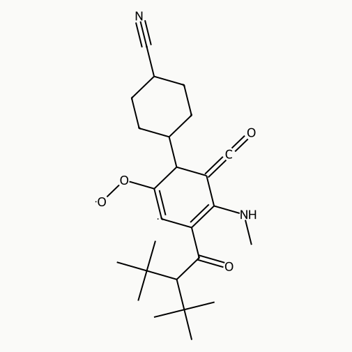 CNC1=C(C(=O)C(C(C)(C)C)C(C)(C)C)[C]=C(O[O])C(C2CCC(C#N)CC2)C1=C=O